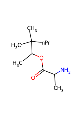 CCCC(C)(C)C(C)OC(=O)C(C)N